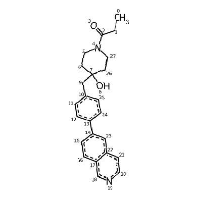 CCC(=O)N1CCC(O)(Cc2ccc(-c3ccc4cnccc4c3)cc2)CC1